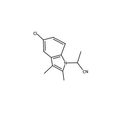 Cc1c(C)n(C(C)C#N)c2ccc(Cl)cc12